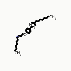 CCCCCCC/C=C\CCOc1ccc(-c2ncc(CCCCCCCC)cn2)cc1